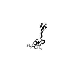 CC(C)(C)OC(=O)N1CCC[C@H]1CCCCCC(F)(F)C(F)(F)F